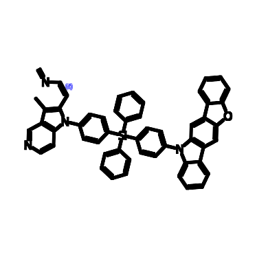 C=N/C=C\c1c(C)c2cnccc2n1-c1ccc([Si](c2ccccc2)(c2ccccc2)c2ccc(-n3c4ccccc4c4cc5oc6ccccc6c5cc43)cc2)cc1